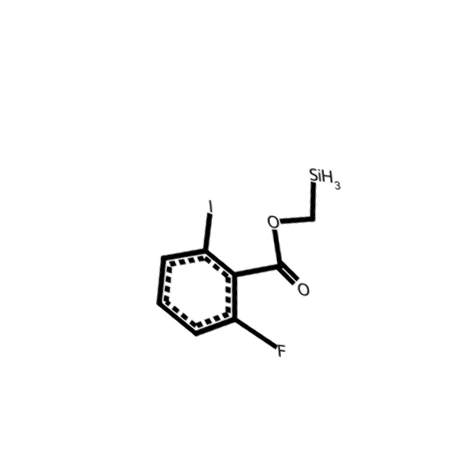 O=C(OC[SiH3])c1c(F)cccc1I